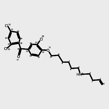 C=CCCNCCCCCCOc1ccc(C(=O)c2ccc(Cl)cc2Cl)cc1Cl